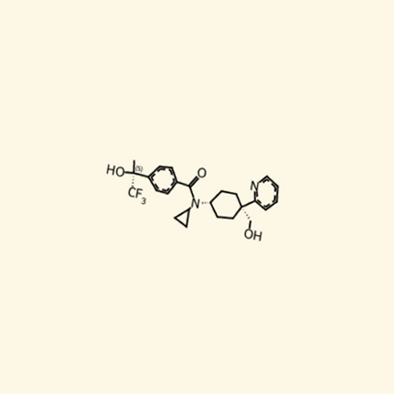 C[C@](O)(c1ccc(C(=O)N(C2CC2)[C@H]2CC[C@](CO)(c3ccccn3)CC2)cc1)C(F)(F)F